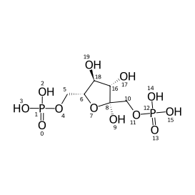 O=P(O)(O)OC[C@H]1O[C@](O)(COP(=O)(O)O)[C@@H](O)[C@@H]1O